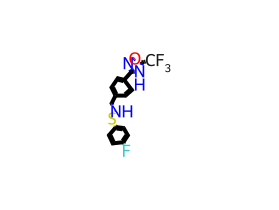 Fc1ccc(SNCc2ccc(C3=NOC(C(F)(F)F)N3)cc2)cc1